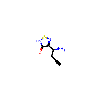 C#CC[C@H](N)c1ns[nH]c1=O